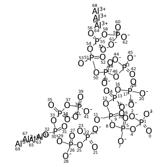 O=P([O-])([O-])OP(=O)([O-])OP(=O)([O-])OP(=O)([O-])OP(=O)([O-])[O-].O=P([O-])([O-])OP(=O)([O-])OP(=O)([O-])OP(=O)([O-])OP(=O)([O-])[O-].O=P([O-])([O-])OP(=O)([O-])OP(=O)([O-])OP(=O)([O-])OP(=O)([O-])[O-].[Al+3].[Al+3].[Al+3].[Al+3].[Al+3].[Al+3].[Al+3]